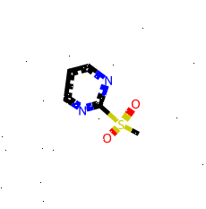 CS(=O)(=O)c1ncccn1